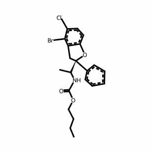 CCCCOC(=O)NC(C)[C@@]1(c2ccccc2)Cc2c(ccc(Cl)c2Br)O1